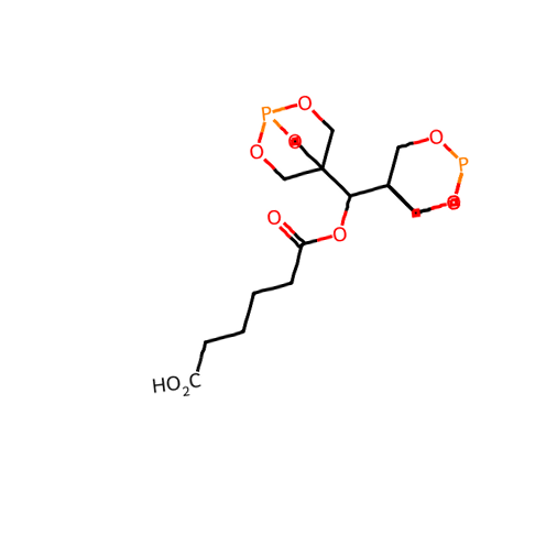 O=C(O)CCCCC(=O)OC(C12COP(OC1)OC2)C12COP(OC1)OC2